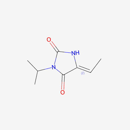 C/C=C1\NC(=O)N(C(C)C)C1=O